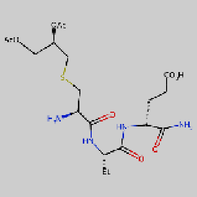 CC[C@H](NC(=O)[C@@H](N)CSC[C@@H](COC(C)=O)OC(C)=O)C(=O)N[C@H](CCC(=O)O)C(N)=O